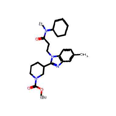 CCN(C(=O)CCn1c(C2CCCN(C(=O)OC(C)(C)C)C2)nc2cc(C)ccc21)C1CCCCC1